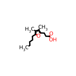 CCCCCc1oc(CCC(=O)O)c(C)c1C